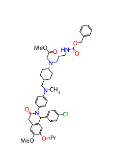 COC(=O)CN(CCCNC(=O)OCc1ccccc1)[C@H]1CC[C@H](CN(C)c2ccc(N3C(=O)Cc4cc(OC)c(OC(C)C)cc4[C@@H]3c3ccc(Cl)cc3)cc2)CC1